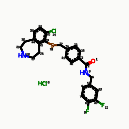 Cl.O=C(NCc1ccc(F)c(F)c1)c1ccc(CSc2c(Cl)ccc3c2CCNCC3)cc1